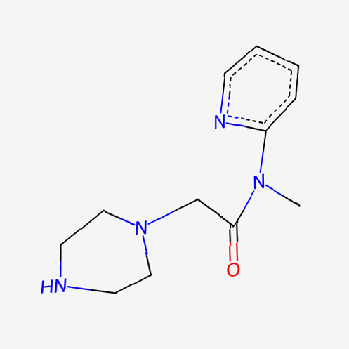 CN(C(=O)CN1CCNCC1)c1ccccn1